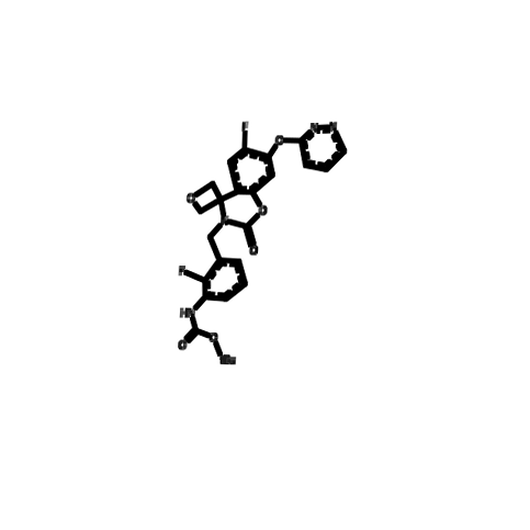 CC(C)(C)OC(=O)Nc1cccc(CN2C(=O)Oc3cc(Oc4cccnn4)c(F)cc3C23COC3)c1F